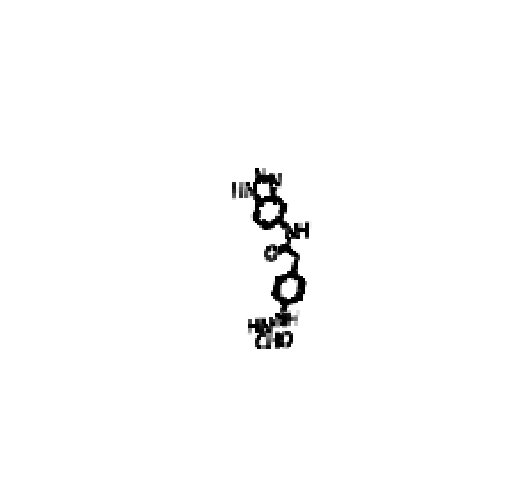 O=CNNc1ccc(CC(=O)Nc2ccc3[nH]nnc3c2)cc1